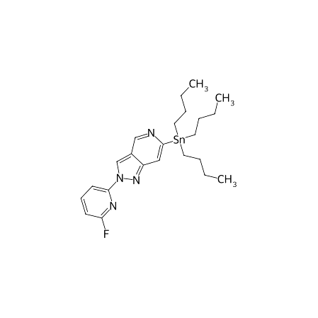 CCC[CH2][Sn]([CH2]CCC)([CH2]CCC)[c]1cc2nn(-c3cccc(F)n3)cc2cn1